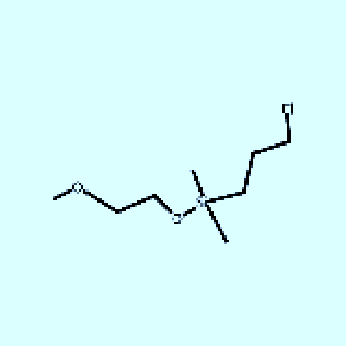 COCCO[Si](C)(C)CCCCl